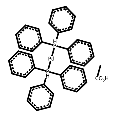 CC(=O)O.c1ccc([PH]([Pd][PH](c2ccccc2)(c2ccccc2)c2ccccc2)(c2ccccc2)c2ccccc2)cc1